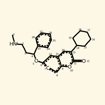 CNCCC(Oc1ccc2oc(=O)c(C3CCCCC3)cc2c1)c1ccccc1